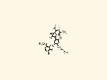 COC1=NC(C)=NC2C1NC(=O)N2c1cc(OCc2c(OC)ccc(F)c2F)c(OCCCO)cc1Cl